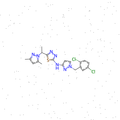 Cc1cc(C)n(C(C)c2nnc(Nc3ccn(Cc4cc(Cl)ccc4Cl)n3)s2)n1